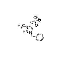 CN1NN(Cc2ccccc2)C=C1OS(=O)(=O)C(F)(F)F